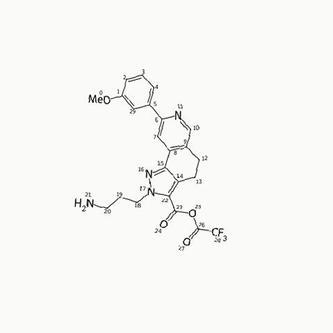 COc1cccc(-c2cc3c(cn2)CCc2c-3nn(CCCN)c2C(=O)OC(=O)C(F)(F)F)c1